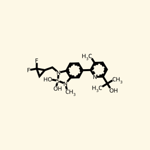 Cc1ccc(C(C)(C)O)nc1-c1ccc2c(c1)N(C)S(O)(O)N2CC1CC1(F)F